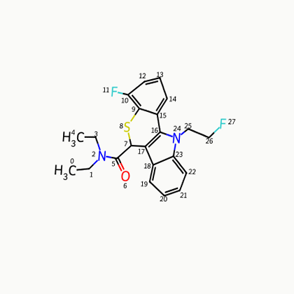 CCN(CC)C(=O)C1Sc2c(F)cccc2-c2c1c1ccccc1n2CCF